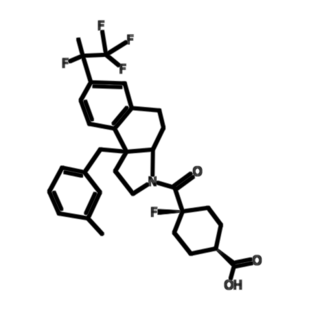 Cc1cccc(CC23CCN(C(=O)[C@]4(F)CC[C@@H](C(=O)O)CC4)C2CCc2cc(C(C)(F)C(F)(F)F)ccc23)c1